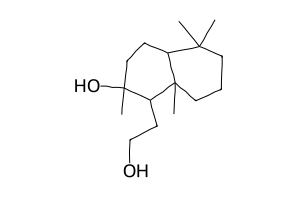 CC1(C)CCCC2(C)C1CCC(C)(O)C2CCO